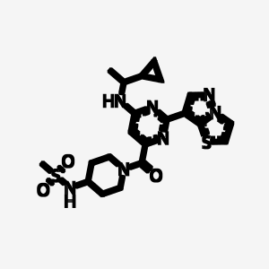 CC(Nc1cc(C(=O)N2CCC(NS(C)(=O)=O)CC2)nc(-c2cnn3ccsc23)n1)C1CC1